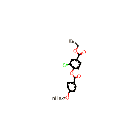 CCCCCCOc1ccc(C(=O)Oc2ccc(C(=O)OCC(C)CC)cc2Cl)cc1